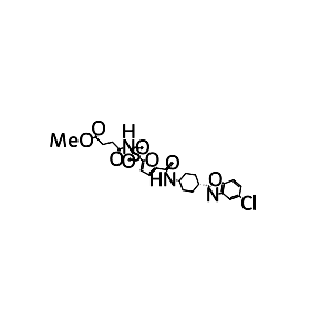 COC(=O)CCC(=O)NS(=O)(=O)c1ccc(C(=O)N[C@H]2CC[C@@H](c3nc4cc(Cl)ccc4o3)CC2)o1